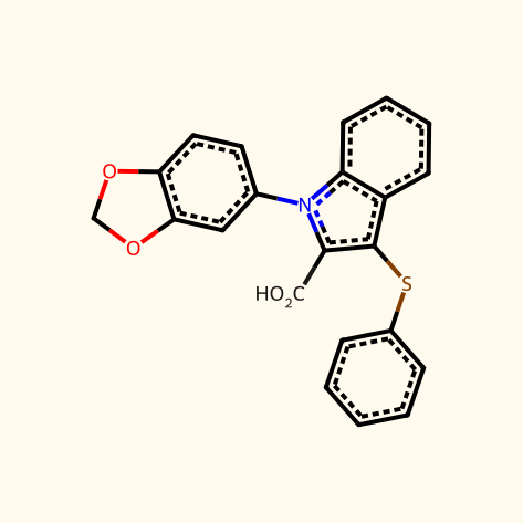 O=C(O)c1c(Sc2ccccc2)c2ccccc2n1-c1ccc2c(c1)OCO2